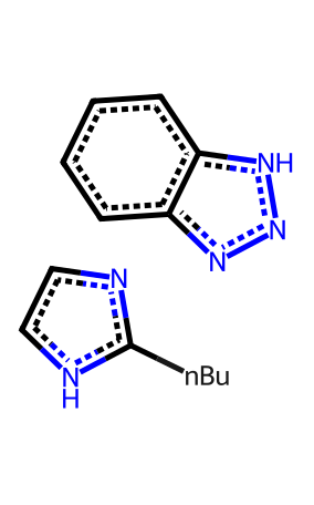 CCCCc1ncc[nH]1.c1ccc2[nH]nnc2c1